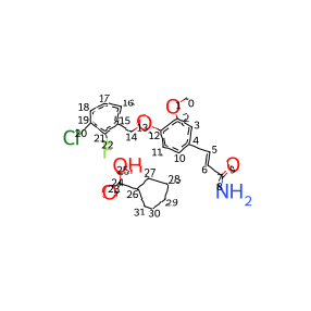 COc1cc(/C=C/C(N)=O)ccc1OCc1cccc(Cl)c1F.O=C(O)C1CCCCC1